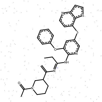 C=C(/N=C(\CC)Nc1ncc(Sc2ccnc3ccsc23)cc1Oc1ccccc1)C1CCCN(C(C)=O)C1